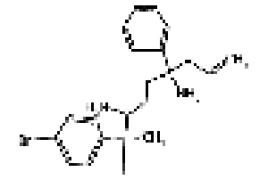 C=CCC(N)(CCC(N)[C@@](C)(I)c1ccc(Br)cc1)c1ccccc1